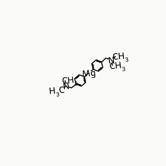 CN(C)Cc1cc[c]([Mg][c]2ccc(CN(C)C)cc2)cc1